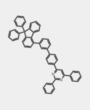 c1ccc(-c2cc(-c3ccc(-c4cccc(-c5cccc6c5-c5ccccc5C6(c5ccccc5)c5ccccc5)c4)cc3)nc(-c3ccccc3)n2)cc1